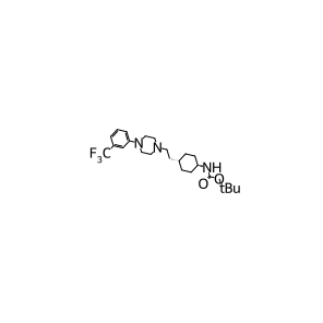 CC(C)(C)OC(=O)N[C@H]1CC[C@H](CCN2CCN(c3cccc(C(F)(F)F)c3)CC2)CC1